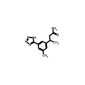 [CH2]C(CC(N)=O)c1cc(C)cc(-c2nnn[nH]2)c1